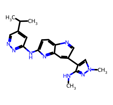 CNc1nn(C)cc1-c1cnc2ccc(Nc3cc(C(C)C)cnn3)nc2c1